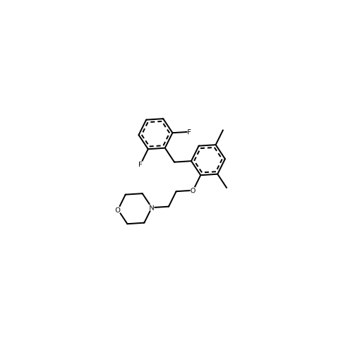 Cc1cc(C)c(OCCN2CCOCC2)c(Cc2c(F)cccc2F)c1